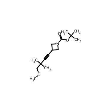 COCC(C)(C)C#CC1CN(C(=O)OC(C)(C)C)C1